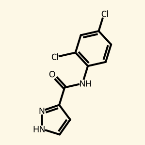 O=C(Nc1ccc(Cl)cc1Cl)c1cc[nH]n1